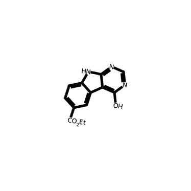 CCOC(=O)c1ccc2[nH]c3ncnc(O)c3c2c1